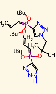 C=CC=P(OC(C)(C)C)(OC(C)(C)C)c1cn(CC(C)(C)OP(=CC=C)(OC(C)(C)C)c2c[nH]nn2)nn1